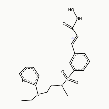 CCN(CCN(C)S(=O)(=O)c1cccc(/C=C/C(=O)NO)c1)c1ccccn1